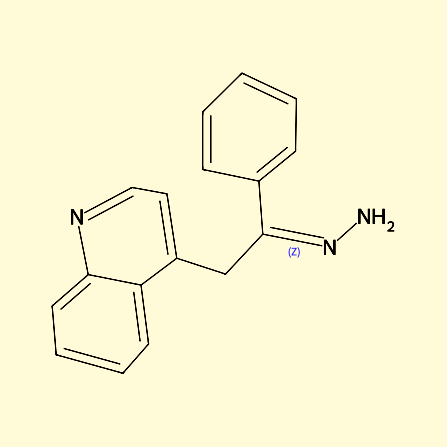 N/N=C(/Cc1ccnc2ccccc12)c1ccccc1